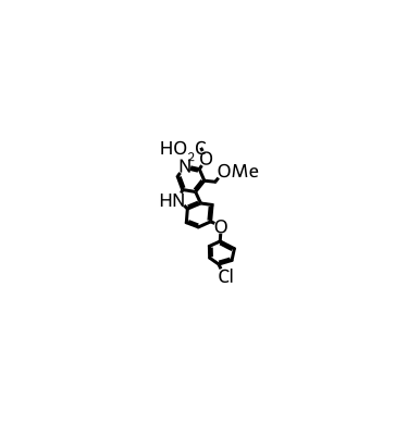 COCc1c(OC(=O)O)ncc2[nH]c3ccc(Oc4ccc(Cl)cc4)cc3c12